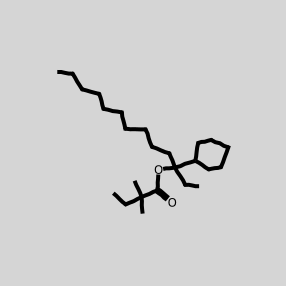 CCCCCCCCCCC(CC)(OC(=O)C(C)(C)CC)C1CCCCC1